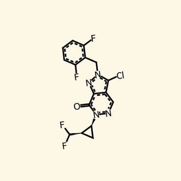 O=c1c2nn(Cc3c(F)cccc3F)c(Cl)c2cnn1[C@H]1C[C@H]1C(F)F